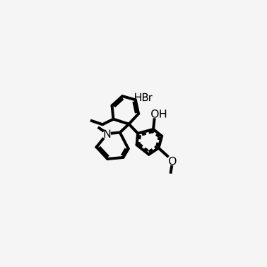 Br.CCC1C=CC=CC1(c1ccc(OC)cc1O)C1C=CC=CN1C